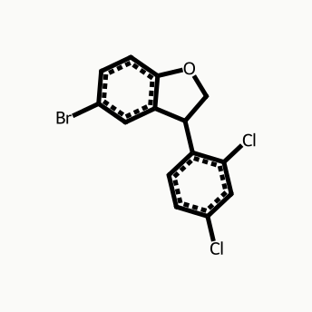 Clc1ccc(C2COc3ccc(Br)cc32)c(Cl)c1